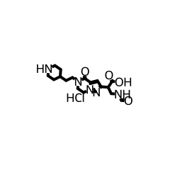 Cl.O=CNCC(C(=O)O)c1cc2n(n1)CCN(CCC1CCNCC1)C2=O